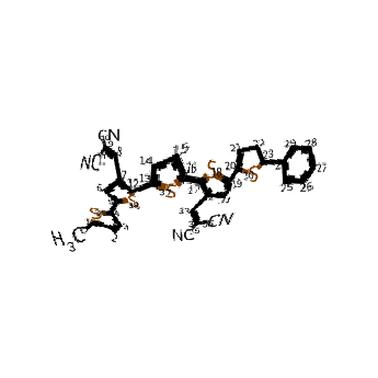 Cc1ccc(-c2cc(C=C(C#N)C#N)c(-c3ccc(-c4sc(C5=CCC(c6ccccc6)S5)cc4C=C(C#N)C#N)s3)s2)s1